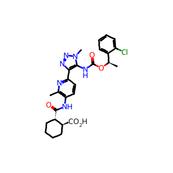 Cc1nc(-c2nnn(C)c2NC(=O)O[C@H](C)c2ccccc2Cl)ccc1NC(=O)[C@H]1CCCC[C@@H]1C(=O)O